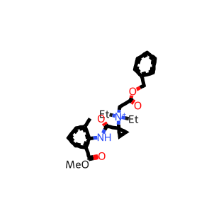 CC[N+](CC)(CC(=O)OCc1ccccc1)C1(C(=O)Nc2c(C)cccc2C(=O)OC)CC1